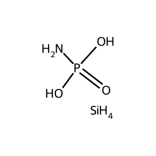 NP(=O)(O)O.[SiH4]